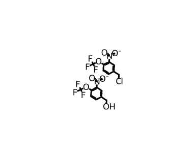 O=[N+]([O-])c1cc(CCl)ccc1OC(F)(F)F.O=[N+]([O-])c1cc(CO)ccc1OC(F)(F)F